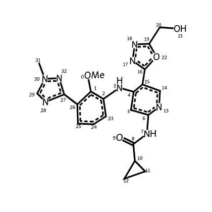 COc1c(Nc2cc(NC(=O)C3CC3)ncc2-c2nnc(CO)o2)cccc1-c1ncn(C)n1